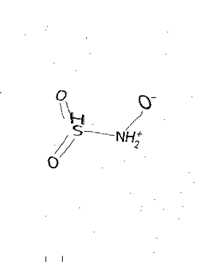 O=[SH](=O)[NH2+][O-]